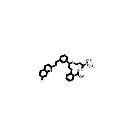 CN(C)C(=O)CCSC(CCc1ccccc1C(=O)O)c1cccc(/C=C/c2ccc3ccc(Cl)cc3n2)c1